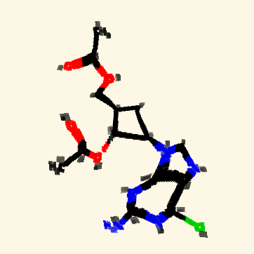 CC(=O)OC[C@H]1C[C@@H](n2cnc3c(Cl)nc(N)nc32)[C@@H]1OC(C)=O